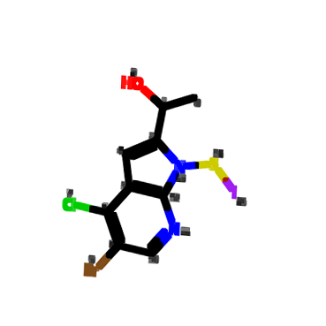 CC(O)c1cc2c(Cl)c(Br)cnc2n1SI